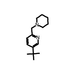 CC(C)(C)c1ccc(CN2CCCCC2)nc1